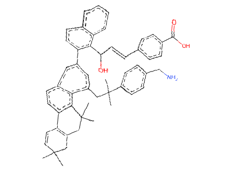 CC1(C)C=CC2=C(C1)CC(C)(C)c1c2ccc2cc(-c3ccc4ccccc4c3C(O)C=Cc3ccc(C(=O)O)cc3)cc(CC(C)(C)c3ccc(CN)cc3)c12